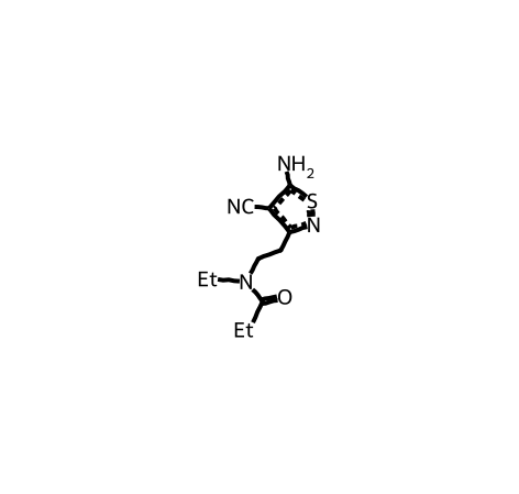 CCC(=O)N(CC)CCc1nsc(N)c1C#N